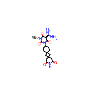 CCCCN1C(=O)C(=C(N)N)C(=O)N(C2CCC3(CC2)CC2(CC(=O)NC(=O)C2)C3)C1=O